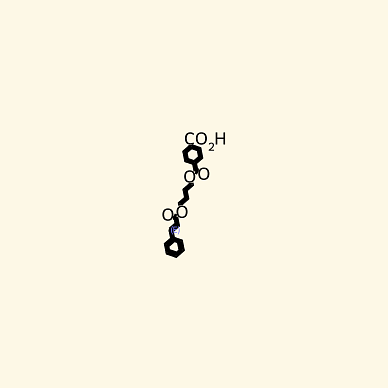 O=C(/C=C/c1ccccc1)OCCCCOC(=O)C1CCC(C(=O)O)CC1